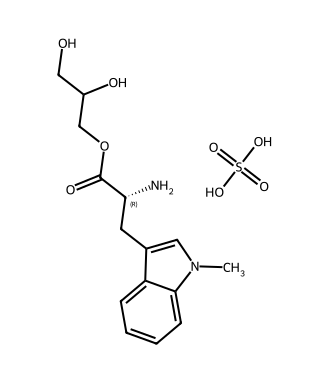 Cn1cc(C[C@@H](N)C(=O)OCC(O)CO)c2ccccc21.O=S(=O)(O)O